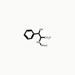 CCCCCNC(C(=O)O)C(O)c1ccccc1